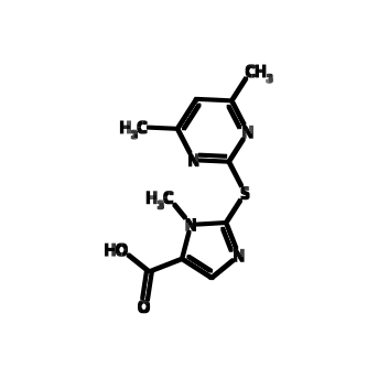 Cc1cc(C)nc(Sc2ncc(C(=O)O)n2C)n1